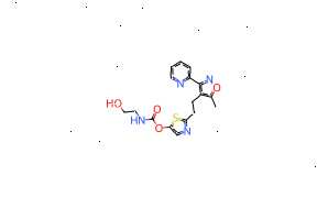 Cc1onc(-c2ccccn2)c1CCc1ncc(OC(=O)NCCO)s1